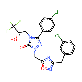 O=c1n(Cc2nc(Cc3cccc(Cl)c3)no2)nc(-c2ccc(Cl)cc2)n1C[C@H](O)C(F)(F)F